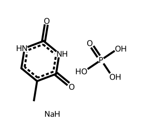 Cc1c[nH]c(=O)[nH]c1=O.O=P(O)(O)O.[NaH]